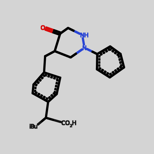 CCC(C)C(C(=O)O)c1ccc(CC2CN(c3ccccc3)NCC2=O)cc1